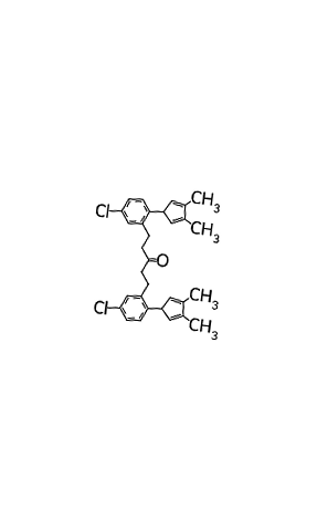 CC1=CC(c2ccc(Cl)cc2CCC(=O)CCc2cc(Cl)ccc2C2C=C(C)C(C)=C2)C=C1C